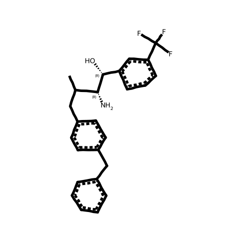 CC(Cc1ccc(Cc2ccccc2)cc1)[C@@H](N)[C@H](O)c1cccc(C(F)(F)F)c1